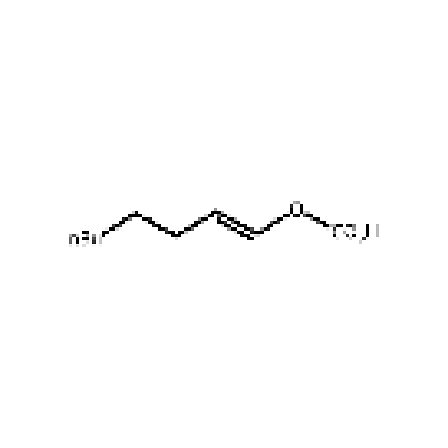 CCCCCCC=COC(=O)O